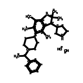 Cc1c(C)c(N2CCN(C(C)c3ccccc3)CC2)c(C)c2c1OC(C)(C)C2C1CCNC1.Cl.Cl